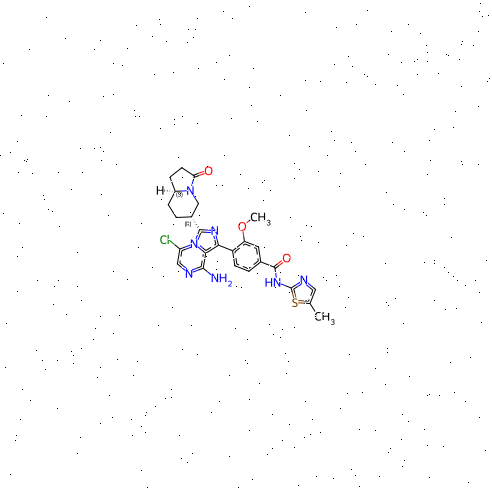 COc1cc(C(=O)Nc2ncc(C)s2)ccc1-c1nc([C@@H]2CC[C@H]3CCC(=O)N3C2)n2c(Cl)cnc(N)c12